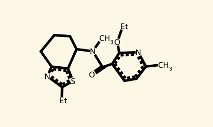 CCOc1nc(C)ccc1C(=O)N(C)C1CCCc2nc(CC)sc21